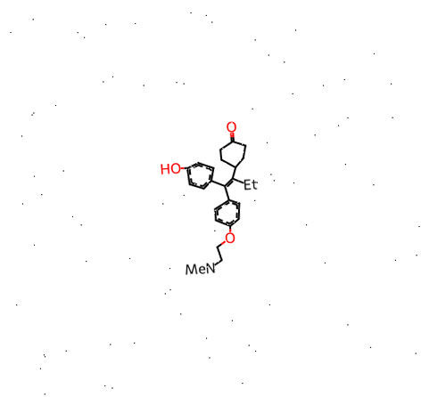 CC/C(=C(/c1ccc(O)cc1)c1ccc(OCCNC)cc1)C1CCC(=O)CC1